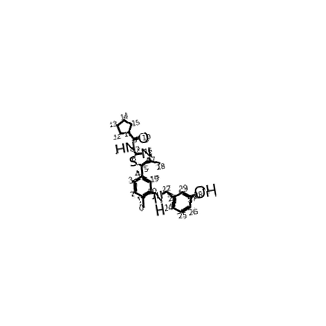 Cc1ccc(-c2sc(NC(=O)C3CCCC3)nc2C)cc1NCc1cccc(O)c1